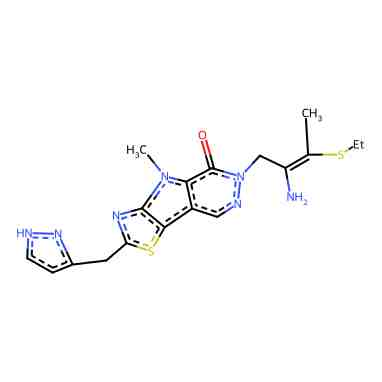 CCS/C(C)=C(\N)Cn1ncc2c3sc(Cc4cc[nH]n4)nc3n(C)c2c1=O